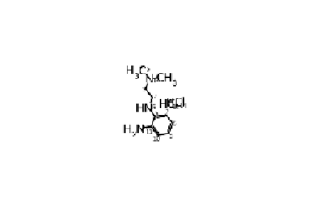 CN(C)CCNc1ccccc1N.Cl.Cl